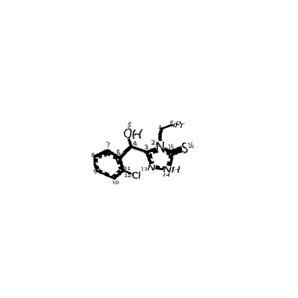 CC(C)Cn1c(C(O)c2ccccc2Cl)n[nH]c1=S